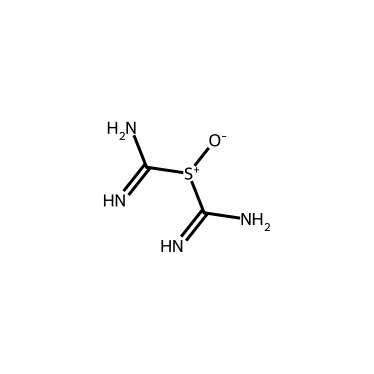 N=C(N)[S+]([O-])C(=N)N